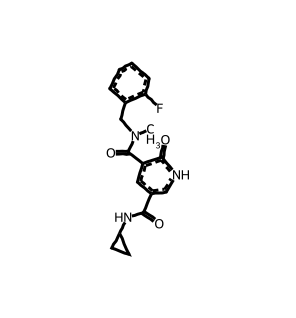 CN(Cc1ccccc1F)C(=O)c1cc(C(=O)NC2CC2)c[nH]c1=O